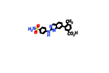 Cc1ccc(C(=O)O)cc1-c1ccc2cnc(Nc3ccc(S(N)(=O)=O)cc3)nc2c1